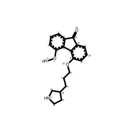 CCCOc1cccc2c1-c1c(OCCCC3CCNC3)cccc1C2=O